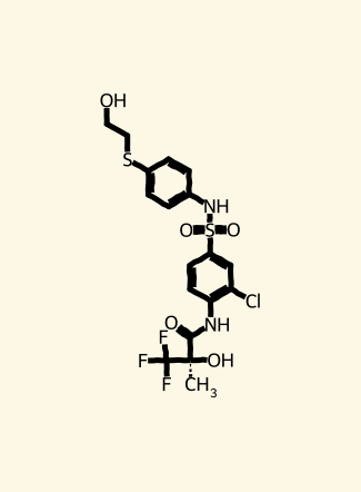 C[C@@](O)(C(=O)Nc1ccc(S(=O)(=O)Nc2ccc(SCCO)cc2)cc1Cl)C(F)(F)F